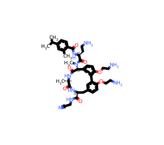 Cc1cc(C(C)C)ccc1C(=O)N[C@@H](CCN)C(=O)N(C)[C@@H]1C(=O)N[C@@H](C)C(=O)N[C@H](C(=O)NCC#N)Cc2ccc(OCCN)c(c2)-c2cc1ccc2OCCN